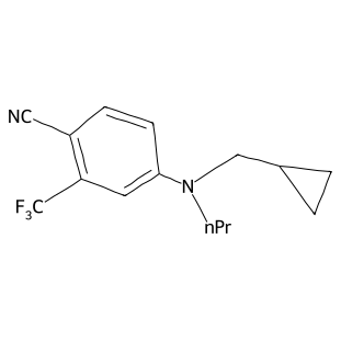 CCCN(CC1CC1)c1ccc(C#N)c(C(F)(F)F)c1